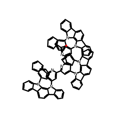 c1ccc(-c2cc(-n3c4ccccc4c4ccc5c6ccccc6n(-c6ccccc6)c5c43)cc(-c3cc(-n4c5ccccc5c5ccc6c7ccccc7n(-c7ccccc7)c6c54)cc(-c4cc(-n5c6ccccc6c6ccc7c8ccccc8n(-c8ccccc8)c7c65)cc(-c5ccccc5)n4)n3)n2)cc1